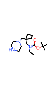 CCN(CC1(CN2CCNCC2)CCC1)C(=O)OC(C)(C)C